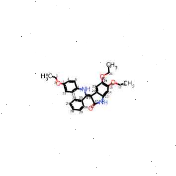 CCOc1ccc(NC(=C2C(=O)Nc3cc(OCC)c(OCC)cc32)c2ccccc2)cc1